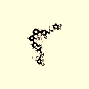 COc1nc(-c2cccc(-c3cccc(-c4ccn5c(=O)c(CNCC6(C)CCC(=O)N6)cnc5c4)c3Cl)c2Cl)ccc1CNC[C@@H]1CCC(=O)N1